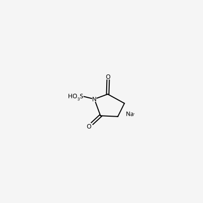 O=C1CCC(=O)N1S(=O)(=O)O.[Na]